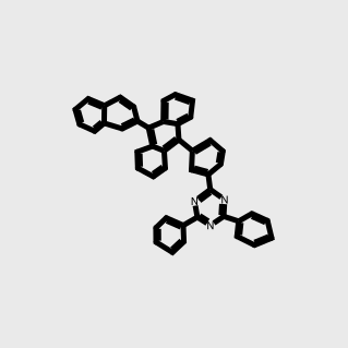 c1ccc(-c2nc(-c3ccccc3)nc(-c3cccc(-c4c5ccccc5c(-c5ccc6ccccc6c5)c5ccccc45)c3)n2)cc1